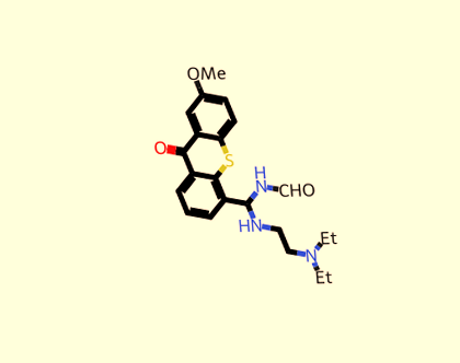 CCN(CC)CCNC(NC=O)c1cccc2c(=O)c3cc(OC)ccc3sc12